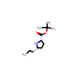 CCC[C@H]1CC[C@@H](C(=O)OC(C)(C)C)N1